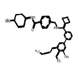 C\C=C/C=c1/cc(-c2cccc(C(NCc3ccc(C(=O)NC4CCC(C(C)(C)C)CC4)cc3)=C3CCC3)c2)cc(O)/c1=C\CC